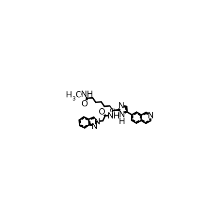 CNC(=O)CCCCC[C@H](NC(=O)Cn1cc2ccccc2n1)c1ncc(-c2ccc3ccncc3c2)[nH]1